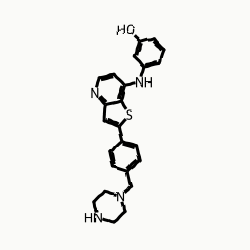 Oc1cccc(Nc2ccnc3cc(-c4ccc(CN5CCNCC5)cc4)sc23)c1